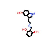 Oc1ccc2[nH]cc(CCN=Cc3c(O)cccc3O)c2c1